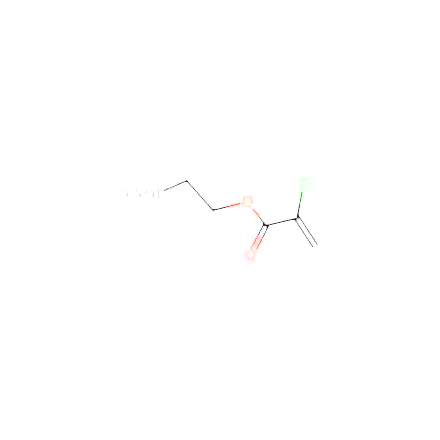 [CH2]CCCCCCOC(=O)C(=C)Cl